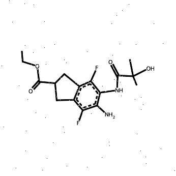 CCOC(=O)C1Cc2c(F)c(N)c(NC(=O)C(C)(C)O)c(F)c2C1